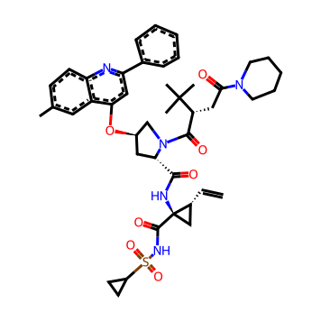 C=C[C@@H]1C[C@]1(NC(=O)[C@@H]1C[C@@H](Oc2cc(-c3ccccc3)nc3ccc(C)cc23)CN1C(=O)[C@@H](CC(=O)N1CCCCC1)C(C)(C)C)C(=O)NS(=O)(=O)C1CC1